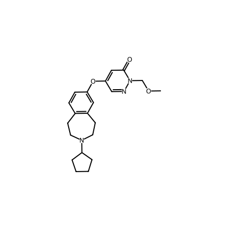 COCn1ncc(Oc2ccc3c(c2)CCN(C2CCCC2)CC3)cc1=O